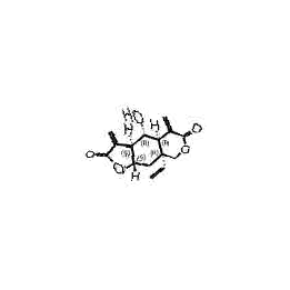 C=C[C@@]12COC(=O)C(=C)[C@@H]1[C@@H](O)[C@@H]1C(=C)C(=O)O[C@H]1C2